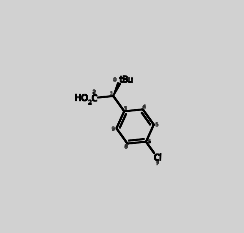 CC(C)(C)[C@H](C(=O)O)c1ccc(Cl)cc1